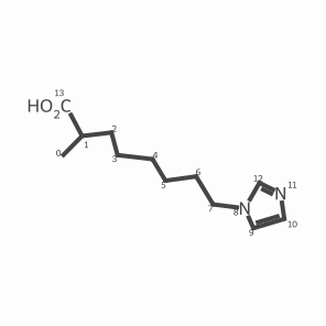 CC(CCCCCCn1ccnc1)C(=O)O